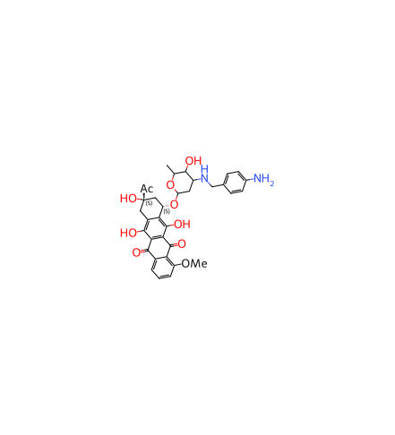 COc1cccc2c1C(=O)c1c(O)c3c(c(O)c1C2=O)C[C@@](O)(C(C)=O)C[C@@H]3OC1CC(NCc2ccc(N)cc2)C(O)C(C)O1